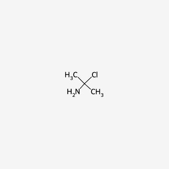 CC(C)(N)Cl